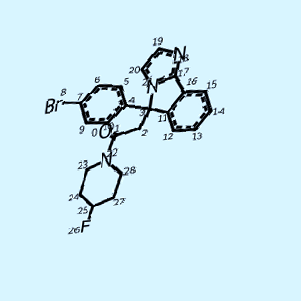 O=C(CC1(c2ccc(Br)cc2)c2ccccc2-c2nccn21)N1CCC(F)CC1